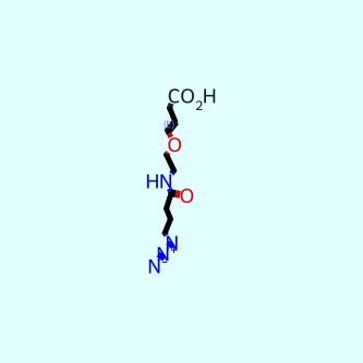 [N-]=[N+]=NCCCC(=O)NCCO/C=C/CC(=O)O